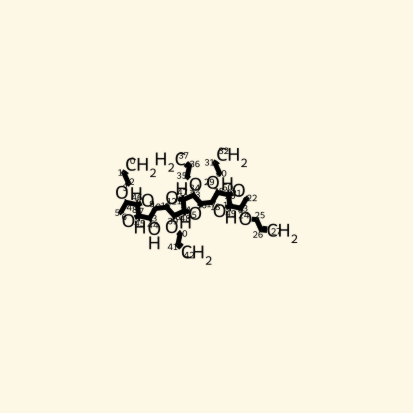 C=CCO[C@H]1CO[C@H]2[C@@H]1OC(C1O[C@H]3[C@H](OC(C4O[C@H]5[C@H](OC[C@@H]5OCC=C)[C@H]4OCC=C)[C@H]3OCC=C)[C@@H]1OCC=C)[C@H]2O